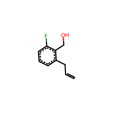 C=CCc1cccc(F)c1CO